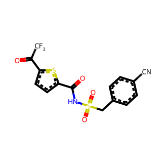 N#Cc1ccc(CS(=O)(=O)NC(=O)c2ccc(C(=O)C(F)(F)F)s2)cc1